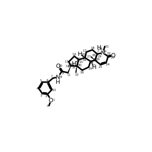 COc1cccc(CNC(=O)C[C@H]2CC[C@H]3[C@@H]4CC[C@H]5N(C)C(=O)C=C[C@]5(C)[C@H]4CC[C@]23C)c1